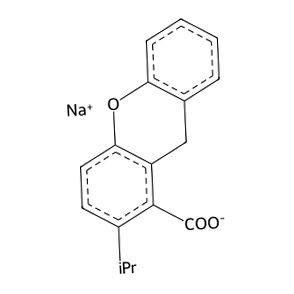 CC(C)c1ccc2c(c1C(=O)[O-])Cc1ccccc1O2.[Na+]